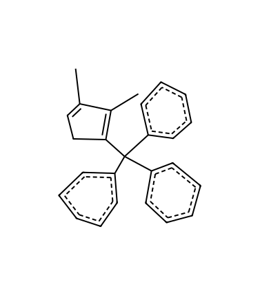 CC1=CCC(C(c2ccccc2)(c2ccccc2)c2ccccc2)=C1C